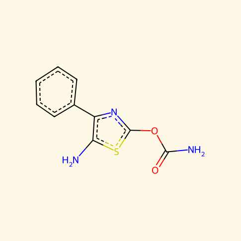 NC(=O)Oc1nc(-c2ccccc2)c(N)s1